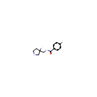 NC1(CNC(=O)c2ccc(Cl)cc2)CCNC1